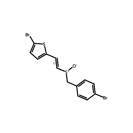 [O-][S+](/C=C/c1ccc(Br)s1)Cc1ccc(Br)cc1